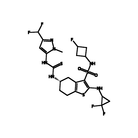 Cn1nc(C(F)F)cc1NC(=S)N[C@H]1CCc2sc(NC3CC3(F)F)c(S(=O)(=O)NC3CC(F)C3)c2C1